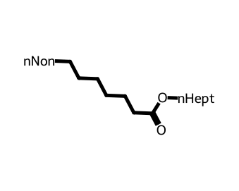 CCCCCCCCCCCCCCCC(=O)OCCCCCCC